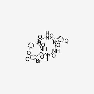 COc1ccc(C[C@H]2C(=O)N[C@@H](C)C(=O)N(C)[C@H]3Cc4ccc(cc4)Oc4cc(c(Br)cc4OC)CC(NC3=O)C(=O)N[C@H](C)C(=O)N[C@@H](C)C(=O)N2C)cc1